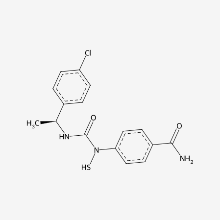 C[C@H](NC(=O)N(S)c1ccc(C(N)=O)cc1)c1ccc(Cl)cc1